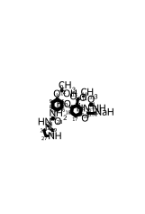 CC(O)Oc1ccccc1.COC(=O)c1ccccc1O.NC(=O)NN1CCNC1.O=C1CNC(=O)N1.[NaH]